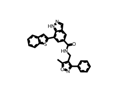 Cc1onc(-c2ccccc2)c1CNC(=O)c1cc(-c2cc3ccccc3s2)c2[nH]ncc2c1